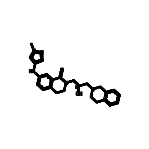 Cn1cc(Nc2ccc3c(c2)C(=O)N(C[C@H](O)CN2CCc4ccccc4C2)CC3)cn1